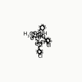 COC(=O)[C@H](CCC(=O)N(C)CCc1ccc(Cl)cc1)NC(=O)[C@H](CC1CCCCC1)NC(=O)OCc1cccc(Cl)c1